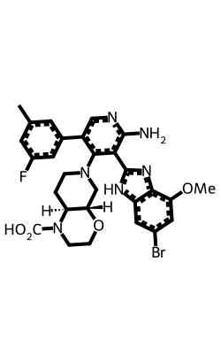 COc1cc(Br)cc2[nH]c(-c3c(N)ncc(-c4cc(C)cc(F)c4)c3N3CC[C@H]4[C@H](C3)OCCN4C(=O)O)nc12